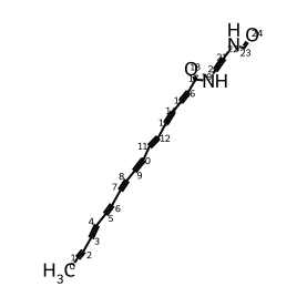 CC#CC#CC#CC#CC#CC#CC#CC#CC(=O)NC#CNC=O